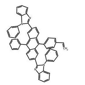 C=Cc1ccc(-c2c3ccc(-c4nc5ccccc5n4-c4ccccc4)cc3c(-c3ccccc3)c3ccc(-c4nc5ccccc5n4-c4ccccc4)cc23)cc1